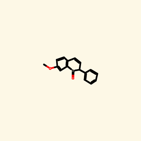 COc1ccc2c(c1)[Te](=O)C(c1ccccc1)C=C2